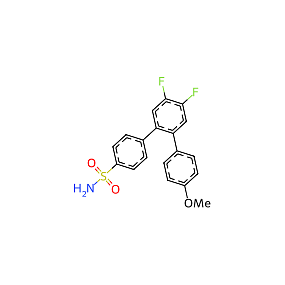 COc1ccc(-c2cc(F)c(F)cc2-c2ccc(S(N)(=O)=O)cc2)cc1